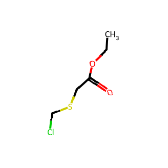 CCOC(=O)CSCCl